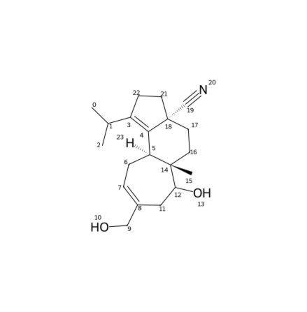 CC(C)C1=C2[C@@H]3CC=C(CO)CC(O)[C@@]3(C)CC[C@]2(C#N)CC1